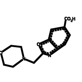 O=C(O)c1ccc2nc(CN3CCOCC3)oc2c1